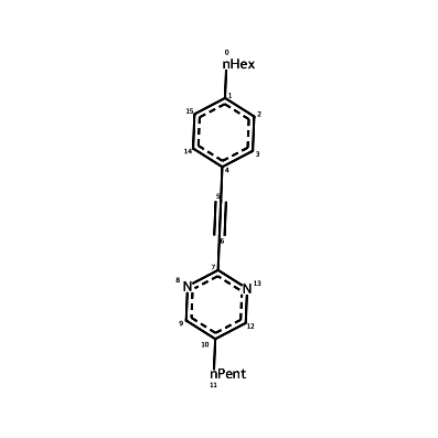 CCCCCCc1ccc(C#Cc2ncc(CCCCC)cn2)cc1